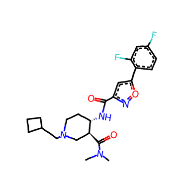 CN(C)C(=O)[C@H]1CN(CC2CCC2)CC[C@@H]1NC(=O)c1cc(-c2ccc(F)cc2F)on1